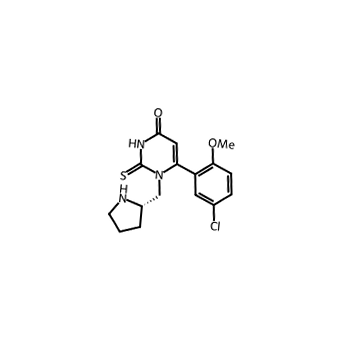 COc1ccc(Cl)cc1-c1cc(=O)[nH]c(=S)n1C[C@@H]1CCCN1